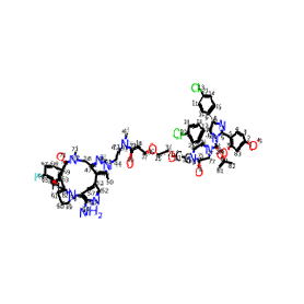 COc1ccc(C2=N[C@@H](c3ccc(Cl)cc3)[C@@H](c3ccc(Cl)cc3)N2C(=O)N2CCN(CCOCCOCCC(=O)N(C)CCn3nc4c(c3C)-c3cnc(N)c(c3)N3CCC[C@@H]3c3cc(F)ccc3C(=O)N(C)C4)C(=O)C2)c(OC(C)C)c1